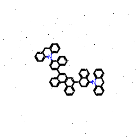 C1=C(N2c3ccccc3Cc3ccccc32)c2ccccc2C(c2cc3cc(-c4ccc(N5c6ccccc6Cc6ccccc65)c5ccccc45)c4ccccc4c3c3ccccc23)C1